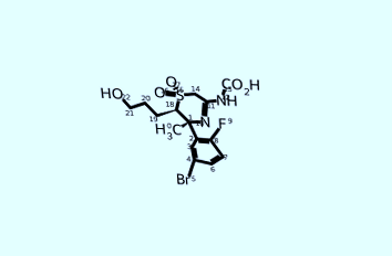 C[C@]1(c2cc(Br)ccc2F)N=C(NC(=O)O)CS(=O)(=O)[C@@H]1CCCO